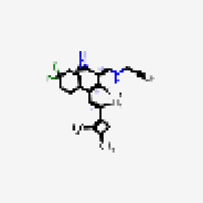 C#CCN\C=C(C1=CN1)/C(C)=C(/C=C(\C)C1=C(C)C(C)C1)C1CCC(F)(F)CC1